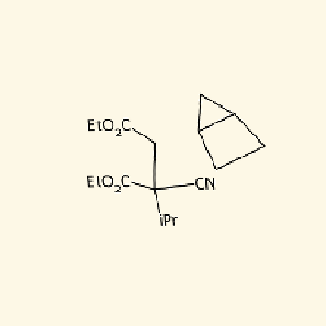 C1CC2CC12.CCOC(=O)CC(C#N)(C(=O)OCC)C(C)C